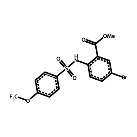 COC(=O)c1cc(Br)ccc1NS(=O)(=O)c1ccc(OC(F)(F)F)cc1